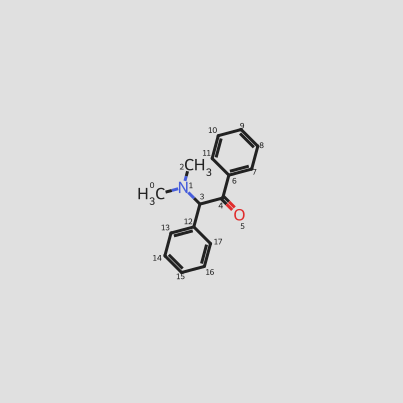 CN(C)C(C(=O)c1ccccc1)c1ccccc1